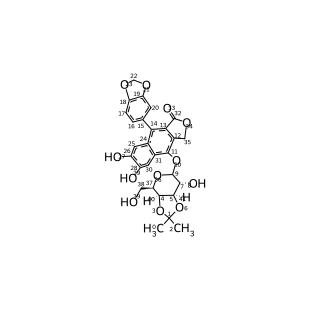 CC1(C)O[C@@H]2[C@H](O1)[C@@H](O)C(Oc1c3c(c(-c4ccc5c(c4)OCO5)c4cc(O)c(O)cc14)C(=O)OC3)O[C@@H]2CO